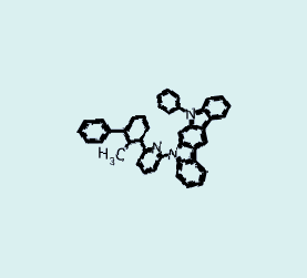 CC1C(c2ccccc2)=CC=CC1c1cccc(-n2c3ccccc3c3cc4c5ccccc5n(-c5ccccc5)c4cc32)n1